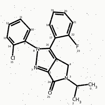 CC(C)N1Cc2c(nn(-c3ccccc3Cl)c2-c2ccccc2F)C1=O